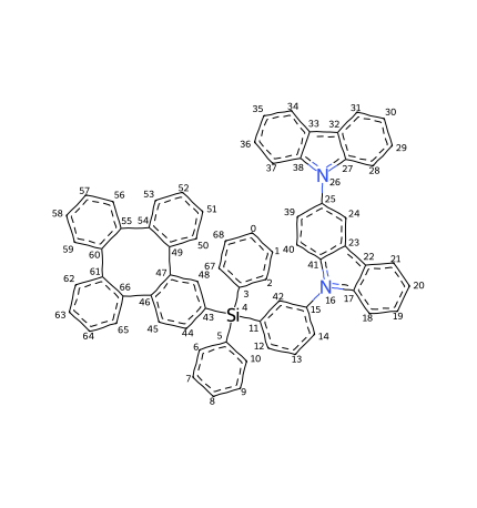 c1ccc([Si](c2ccccc2)(c2cccc(-n3c4ccccc4c4cc(-n5c6ccccc6c6ccccc65)ccc43)c2)c2ccc3c(c2)-c2ccccc2-c2ccccc2-c2ccccc2-3)cc1